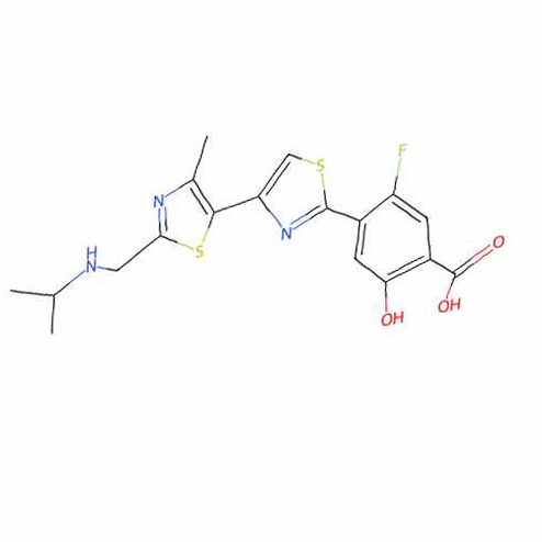 Cc1nc(CNC(C)C)sc1-c1csc(-c2cc(O)c(C(=O)O)cc2F)n1